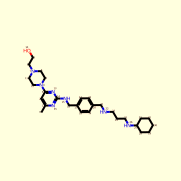 Cc1cc(N2CCN(CCO)CC2)nc(NCc2ccc(CNCCCNC3CCCCC3)cc2)n1